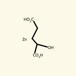 O=C(O)CCC(O)C(=O)O.[Zn]